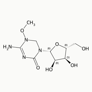 CON1CN([C@@H]2O[C@H](CO)[C@@H](O)[C@H]2O)C(=O)N=C1N